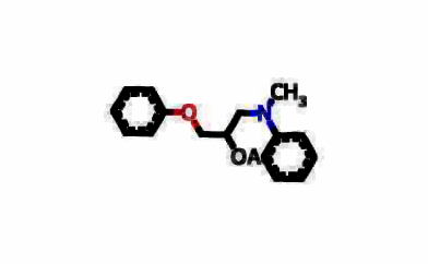 CC(=O)OC(COc1ccccc1)CN(C)c1ccccc1